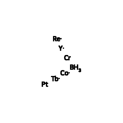 B.[Co].[Cr].[Pt].[Re].[Tb].[Y]